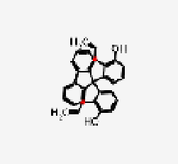 C=CCc1c(O)cccc1C1(c2cccc(O)c2CC=C)c2ccccc2-c2ccccc21